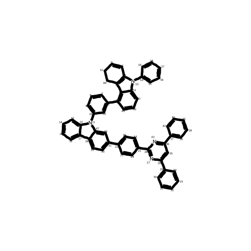 C1=Cc2c(c3c(-c4cccc(-n5c6ccccc6c6ccc(-c7ccc(-c8nc(-c9ccccc9)cc(-c9ccccc9)n8)cc7)cc65)c4)cccc3n2-c2ccccc2)CC1